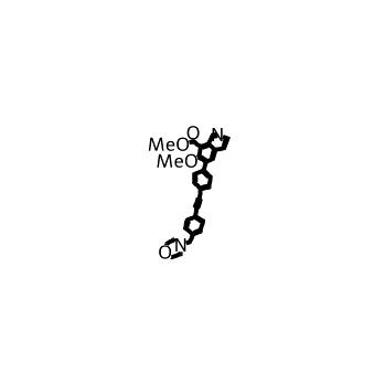 COC(=O)c1c(OC)c(-c2ccc(C#Cc3ccc(CN4CCOCC4)cc3)cc2)cc2ccncc12